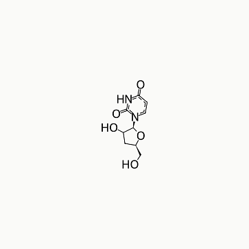 O=c1ccn([C@H]2O[C@@H](CO)CC2O)c(=O)[nH]1